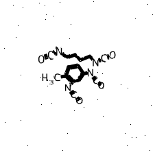 Cc1ccc(N=C=O)cc1N=C=O.O=C=NCCCCN=C=O